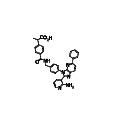 CC(C(=O)O)c1ccc(C(=O)NCc2ccc(-n3c(-c4cccnc4N)nc4ccc(-c5ccccc5)nc43)cc2)cc1